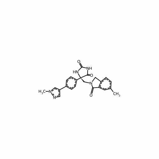 Cc1ccc2c(c1)C(=O)N(C[C@@]1(c3ccc(-c4cnn(C)c4)cc3)NC(=O)NC1=O)C2